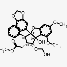 COC(=O)C[C@H]1[C@@H](OCO)[C@@]2(O)c3c(OC)cc(OC)cc3O[C@@]2(c2ccc3c(c2)OCO3)[C@@H]1c1ccccc1